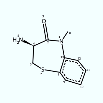 CN1C(=O)[C@H](N)CSc2ccccc21